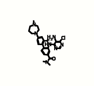 CN1CCCN(c2ccc(-c3ccc(C(=O)N(C)C)cc3Nc3ncnc(Cl)c3N)c(F)c2)CC1